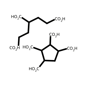 O=C(O)C1CC(C(=O)O)C(C(=O)O)C1C(=O)O.O=C(O)CCC(CCC(=O)O)C(=O)O